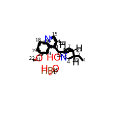 Br.CC[C@H]1C[N@]2CC[C@H]1C[C@H]2[C@H](O)c1ccnc2ccc(OC)cc12.O